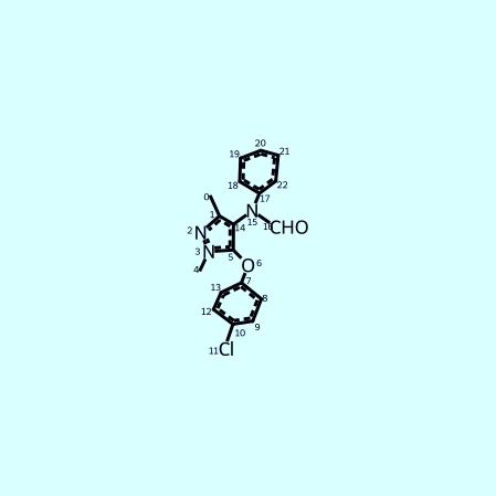 Cc1nn(C)c(Oc2ccc(Cl)cc2)c1N(C=O)c1ccccc1